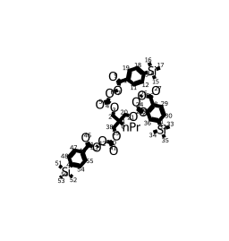 CCCC(COC(=O)OOC(=O)c1ccc([Si](C)(C)C)cc1)(COC(=O)OOC(=O)c1ccc([Si](C)(C)C)cc1)COC(=O)OOC(=O)c1ccc([Si](C)(C)C)cc1